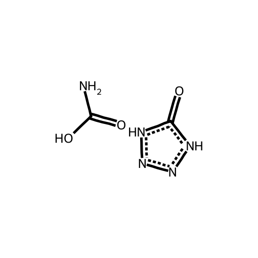 NC(=O)O.O=c1[nH]nn[nH]1